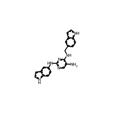 Nc1cnc(Nc2ccc3[nH]ccc3c2)nc1NCc1ccc2[nH]ccc2c1